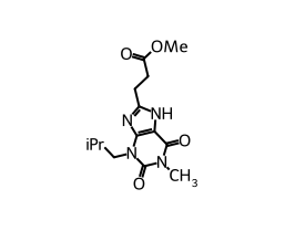 COC(=O)CCc1nc2c([nH]1)c(=O)n(C)c(=O)n2CC(C)C